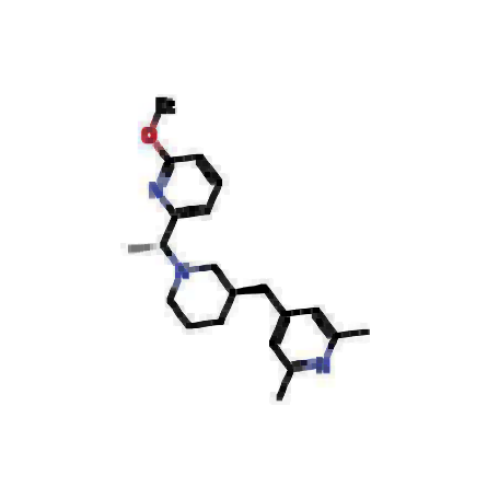 CCOc1cccc([C@@H](C)N2CCC[C@H](Cc3cc(C)nc(C)c3)C2)n1